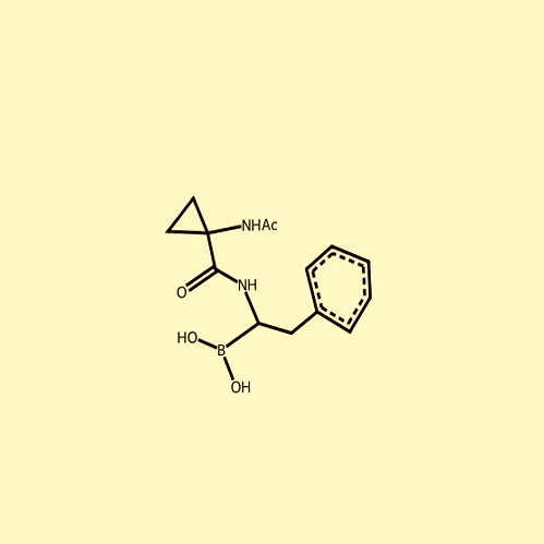 CC(=O)NC1(C(=O)NC(Cc2ccccc2)B(O)O)CC1